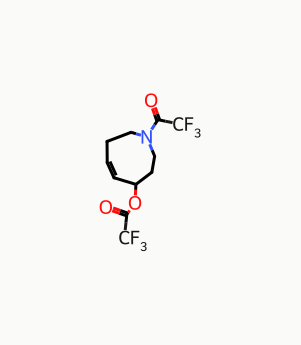 O=C(OC1C=CCCN(C(=O)C(F)(F)F)CC1)C(F)(F)F